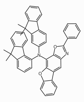 CC1(C)c2ccccc2-c2ccc(N(c3cccc4c3-c3ccccc3C4(C)C)c3c4oc(-c5ccccc5)nc4cc4c3oc3ccccc34)cc21